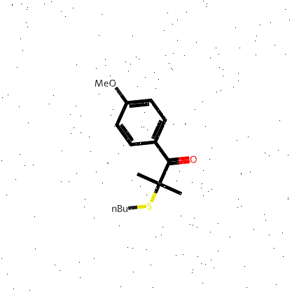 CCCCSC(C)(C)C(=O)c1ccc(OC)cc1